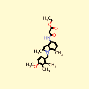 CCOC(=O)CC(=O)Nc1ccc(C)c2c1cc(C)n2Cc1ccc(OC)c(C)c1C